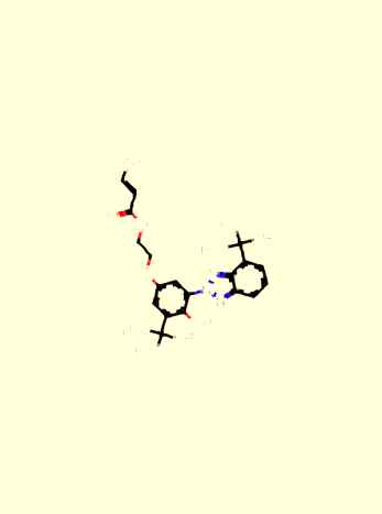 CC=CC(=O)OCCOc1cc(-n2nc3cccc(C(C)(C)C)c3n2)c(O)c(C(C)(C)C)c1